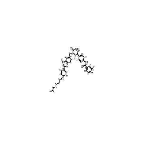 CCCCCCCOc1ccc(C(=O)Oc2ccc(CC(NC(=O)c3ccc(NC(=O)c4cccc(C)c4)cc3)C(=O)O)cc2OC)cc1